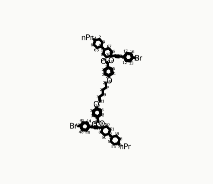 CCCC1CCC(C2CCC(C#Cc3ccc(Br)cc3)(OC(=O)c3ccc(OCCCCCCOc4ccc(C(=O)OC5(C#Cc6ccc(Br)cc6)CCC(C6CCC(CCC)CC6)CC5)cc4)cc3)CC2)CC1